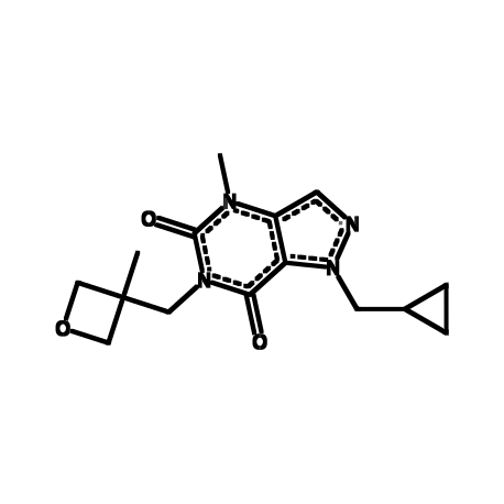 Cn1c(=O)n(CC2(C)COC2)c(=O)c2c1cnn2CC1CC1